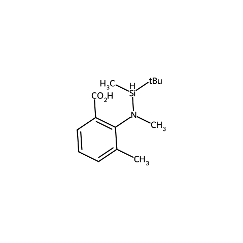 Cc1cccc(C(=O)O)c1N(C)[SiH](C)C(C)(C)C